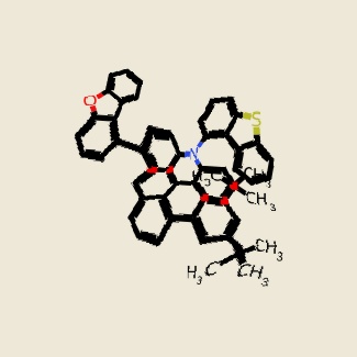 CC(C)(C)c1cc(-c2cccc3cccc(-c4ccccc4N(c4ccc(-c5cccc6oc7ccccc7c56)cc4)c4cccc5sc6ccccc6c45)c23)cc(C(C)(C)C)c1